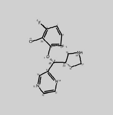 Fc1ccc(F)c(O[C@@H](c2cnccn2)[C@H]2CCNC2)c1Cl